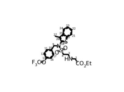 CCOC(=O)CNCCS(=O)(=O)N(Cc1ccc(OC(F)(F)F)cc1)c1sc2ccccc2c1C